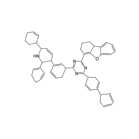 C1=CCC(C2=CCC(c3nc(C4=C5Oc6ccccc6C5CCC4)nc(C4C=C(C5C=CC(C6C=CCCC6)NC5C5=CCCC=C5)C=CC4)n3)C=C2)C=C1